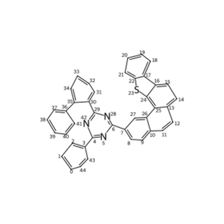 c1ccc(-c2nc(-c3ccc4ccc5ccc6c7ccccc7sc6c5c4c3)nc(-c3ccccc3-c3ccccc3)n2)cc1